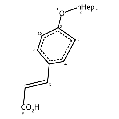 CCCCCCCOc1ccc(C=CC(=O)O)cc1